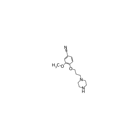 COc1cc(C#N)ccc1OCCCN1CCNCC1